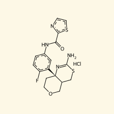 Cl.NC1=N[C@@]2(c3cc(NC(=O)c4nccs4)ccc3F)CCOCC2CS1